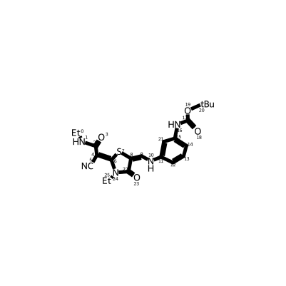 CCNC(=O)/C(C#N)=c1\s/c(=C/Nc2cccc(NC(=O)OC(C)(C)C)c2)c(=O)n1CC